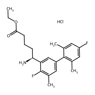 CCOC(=O)CCC[C@H](N)c1cc(-c2c(C)cc(F)cc2C)cc(C)c1F.Cl